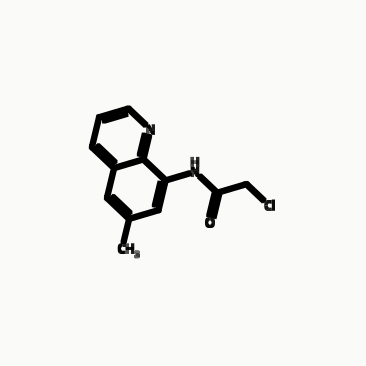 Cc1cc(NC(=O)CCl)c2ncccc2c1